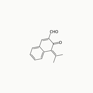 CC(C)=C1C(=O)C(C=O)=Cc2ccccc21